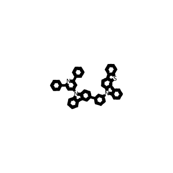 c1ccc(-c2cc(-n3c4ccccc4c4cc(-c5cccc(-n6c7ccccc7c7c8sc9ccccc9c8ccc76)c5)ccc43)cc(-c3ccccc3)n2)cc1